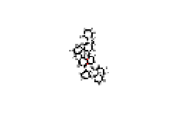 c1ccc(N(c2ccc(-c3ccc4c(c3)sc3ccccc34)cc2)c2cccc3ccccc23)c(-c2ccc3c(c2)oc2ccccc23)c1